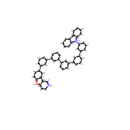 c1cc(-c2cccc(-c3cccc(-c4ccc5oc6ccncc6c5c4)c3)c2)cc(-c2cccc(-c3cccc(-n4c5ccccc5c5ccccc54)c3)c2)c1